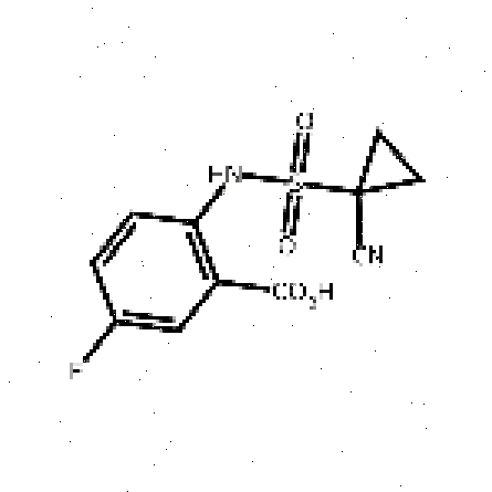 N#CC1(S(=O)(=O)Nc2ccc(F)cc2C(=O)O)CC1